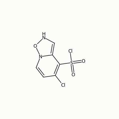 O=S(=O)(Cl)C1=C(Cl)C=CN2ONC=C12